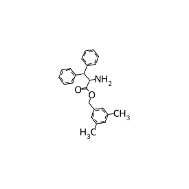 Cc1cc(C)cc(COC(=O)C(N)C(c2ccccc2)c2ccccc2)c1